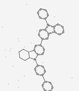 c1ccc(-c2ccc(N3c4ccc(-c5ccc6c(c5)c5ccccc5n6-c5ccccc5)cc4C4CCCCC43)cc2)cc1